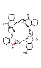 O=C(Cl)c1ccccc1-c1c2nc(c(-c3ccccc3C(=O)Cl)c3ccc([nH]3)c(-c3c[c]([Mn])ccc3C(=O)Cl)c3nc(c(-c4ccccc4C(=O)Cl)c4ccc1[nH]4)C=C3)C=C2